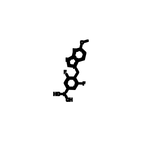 COc1ccc2c(ncn2Cc2c(F)cc(B(O)O)cc2F)n1